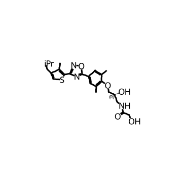 Cc1cc(-c2nc(-c3scc(CC(C)C)c3C)no2)cc(C)c1OC[C@H](O)CNC(=O)CO